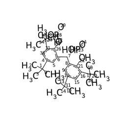 CC(C)(C)c1cc(Cc2cc(C(C)(C)C)cc(C(C)(C)C)c2O[PH](=O)O)c(O[PH](=O)O)c(C(C)(C)C)c1